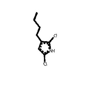 CCCCc1cc(Cl)[nH]c1Cl